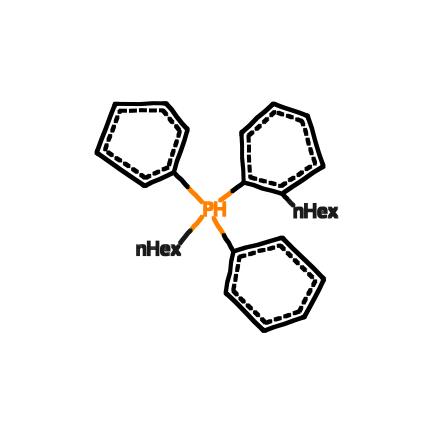 CCCCCCc1ccccc1[PH](CCCCCC)(c1ccccc1)c1ccccc1